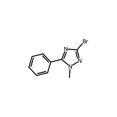 Cn1nc(Br)nc1-c1ccccc1